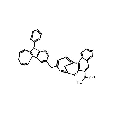 OB(O)c1cc2ccccc2c2c1OC1=CC(Cc3ccc4c(c3)c3c(n4-c4ccccc4)C=CCC=C3)=CC=C2C1